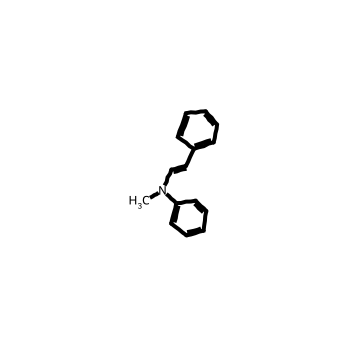 CN(C=Cc1ccccc1)c1ccccc1